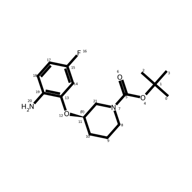 CC(C)(C)OC(=O)N1CCC[C@@H](Oc2cc(F)ccc2N)C1